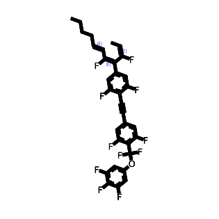 C\C=C(F)/C(=C(F)\C=C\CCCC)c1cc(F)c(C#Cc2cc(F)c(C(F)(F)Oc3cc(F)c(F)c(F)c3)c(F)c2)c(F)c1